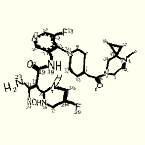 CN1CCN(C(=O)C2CCN(c3c(F)cncc3NC(=O)C(C(N)N=O)C3NCC(F)CN3)CC2)CC12CC2